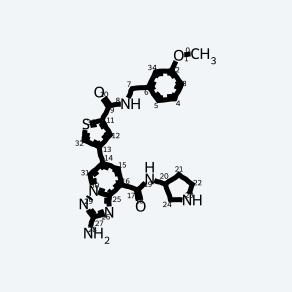 COc1cccc(CNC(=O)c2cc(-c3cc(C(=O)NC4CCNC4)c4nc(N)nn4c3)cs2)c1